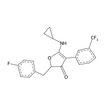 O=C1C(c2cccc(C(F)(F)F)c2)=C(NC2CC2)OC1Cc1ccc(F)cc1